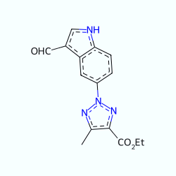 CCOC(=O)c1nn(-c2ccc3[nH]cc(C=O)c3c2)nc1C